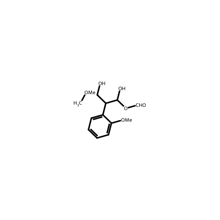 COC.COc1ccccc1C(CO)C(O)OC=O